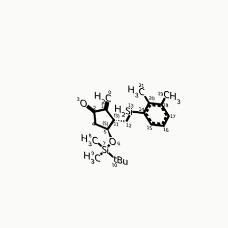 C=C1C(=O)C[C@H](O[Si](C)(C)C(C)(C)C)[C@H]1C[SiH2]c1cccc(C)c1C